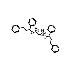 c1ccc(CCC(O[SiH2]C[SiH2]OC(CCc2ccccc2)c2ccccc2)c2ccccc2)cc1